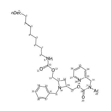 CCCCCCCCCCCCCCCCCCNC(=O)OCC1CC(COC(=O)N(Cc2ccccn2)C(C)=O)N1Cc1ccccc1